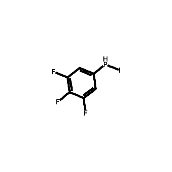 Fc1cc(PI)cc(F)c1F